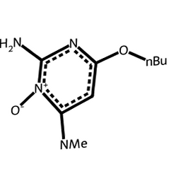 CCCCOc1cc(NC)[n+]([O-])c(N)n1